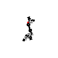 CC(C)CC(=O)N1CC2(CC2)C[C@H]1c1nc2ccc(C#Cc3ccc(-c4cnc([C@@H]5CC6(CC6)CN5C(=O)[C@@H](NC(=O)OC5CCC5)C(C)C)[nH]4)cc3)cc2[nH]1